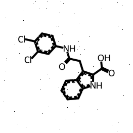 O=C(Cc1c(C(=O)O)[nH]c2ccccc12)Nc1ccc(Cl)c(Cl)c1